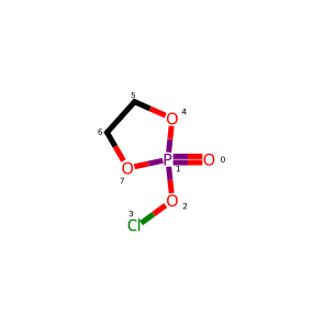 O=P1(OCl)OCCO1